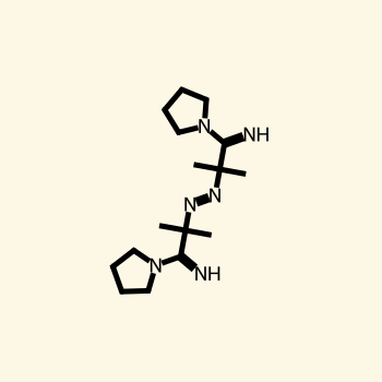 CC(C)(/N=N/C(C)(C)C(=N)N1CCCC1)C(=N)N1CCCC1